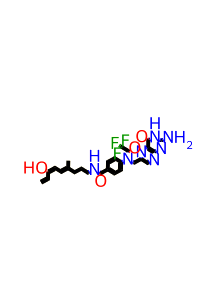 C=C/C(O)=C\C=C(/C)CCCNC(=O)c1ccc(N(Cc2cnc3nc(N)[nH]c(=O)c3n2)C(=O)C(F)(F)F)cc1